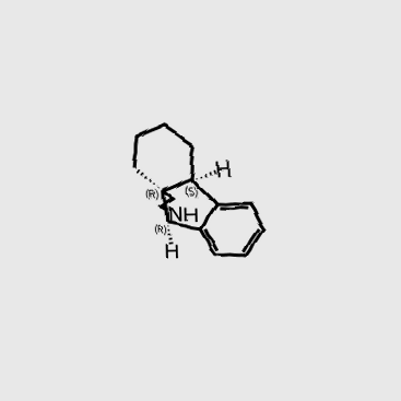 c1ccc2c(c1)[C@@H]1CCCC[C@@]13CCN[C@@H]23